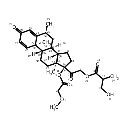 COCC(=O)O[C@]1(C(=O)COC(=O)C(C)CO)CC[C@H]2[C@@H]3C[C@H](C)C4=CC(=O)C=C[C@]4(C)[C@H]3CC[C@@]21C